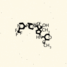 COC1COCCC1NC1CCC(C(=O)N2CC3CC2CN3c2ccnc(C(F)(F)F)c2)(C(C)(C)O)C1